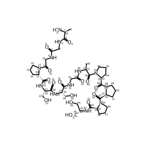 C[C@H](N)C(=O)NCC(=O)NCC(=O)N1CCC[C@H]1C(=O)N[C@@H](CO)C(=O)N[C@@H](CO)C(=O)NCC(=O)N[C@@H](C)C(=O)N1CCC[C@H]1C(=O)N1CCC[C@H]1C(=O)N1CCC[C@H]1C(=O)N[C@@H](CO)C(=O)O